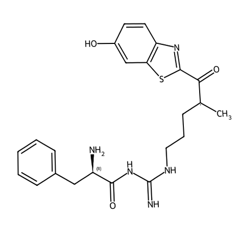 C[C](CCCNC(=N)NC(=O)[C@H](N)Cc1ccccc1)C(=O)c1nc2ccc(O)cc2s1